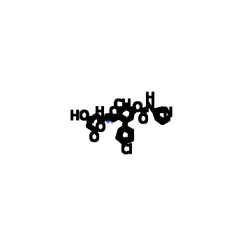 CC1(C)CC(OC(=O)Nc2cccnc2)CC(c2ccc(Cl)cc2)=C1/C=C/[C@@H]1C[C@@H](O)CC(=O)O1